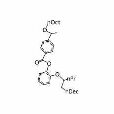 CCCCCCCCCCCC(CCC)Oc1ccccc1OC(=O)c1ccc(C(C)OCCCCCCCC)cc1